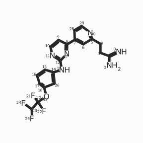 N=C(N)CCc1cc(-c2ccnc(Nc3cccc(OC(F)(F)C(F)F)c3)n2)ccn1